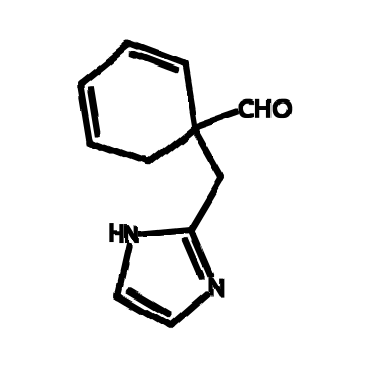 O=CC1(Cc2ncc[nH]2)C=CC=CC1